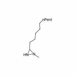 CCCCCCCCCCC1NN1C